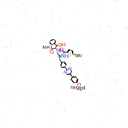 CCCCCCCOc1ccc(-c2cnc(-c3ccc(C[C@@H](CNC(C(=O)OC)C(O)c4ccccc4)NC(=O)c4ccc(C(C)(C)C)s4)cc3)nc2)cc1